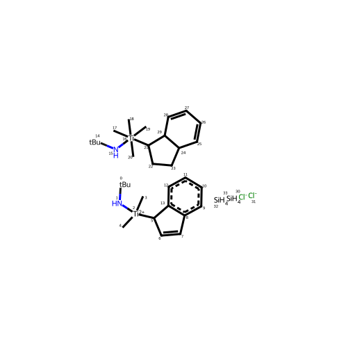 CC(C)(C)[NH][Ti+2]([CH3])([CH3])[CH]1C=Cc2ccccc21.CC(C)(C)[NH][Ti]([CH3])([CH3])([CH3])([CH3])[CH]1CCC2C=CC=CC21.[Cl-].[Cl-].[SiH4].[SiH4]